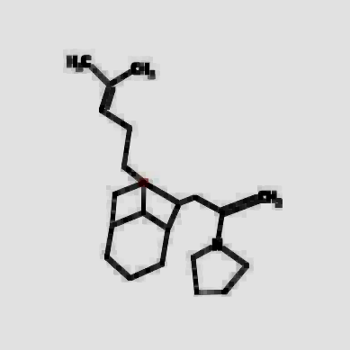 C=C(CC1CCC2CCCC1C2CCCC=C(C)C)N1CCCC1